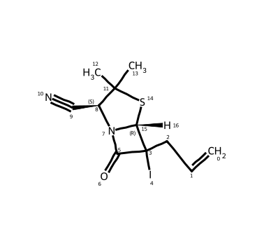 C=CCC1(I)C(=O)N2[C@@H](C#N)C(C)(C)S[C@@H]21